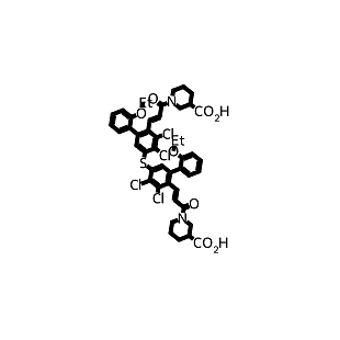 CCOc1ccccc1-c1cc(Sc2cc(-c3ccccc3OCC)c(/C=C/C(=O)N3CCCC(C(=O)O)C3)c(Cl)c2Cl)c(Cl)c(Cl)c1/C=C/C(=O)N1CCCC(C(=O)O)C1